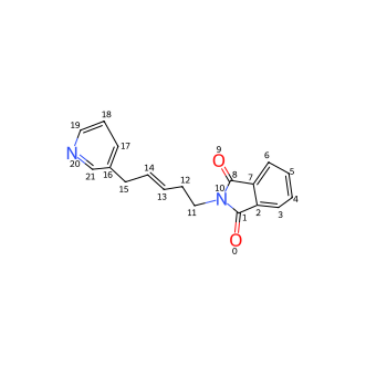 O=C1c2ccccc2C(=O)N1CCC=CCc1cccnc1